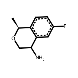 C[C@@H]1OCC(N)c2cc(F)ccc21